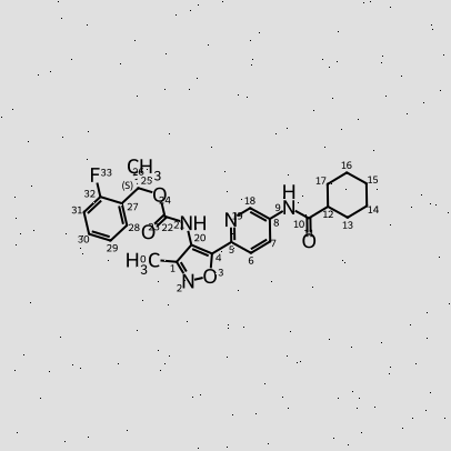 Cc1noc(-c2ccc(NC(=O)C3CCCCC3)cn2)c1NC(=O)O[C@@H](C)c1ccccc1F